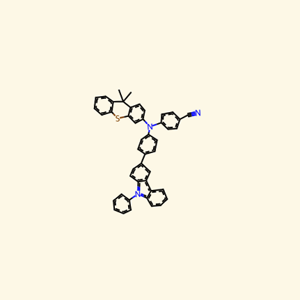 CC1(C)c2ccccc2Sc2cc(N(c3ccc(C#N)cc3)c3ccc(-c4ccc5c(c4)c4ccccc4n5-c4ccccc4)cc3)ccc21